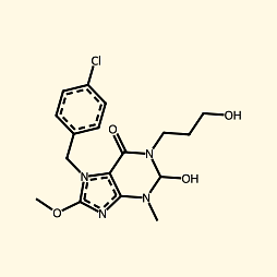 COc1nc2c(n1Cc1ccc(Cl)cc1)C(=O)N(CCCO)C(O)N2C